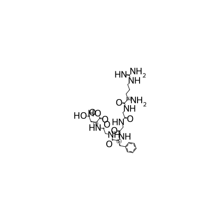 N=C(N)NCCC[C@H](N)C(=O)NCC(=O)NCC(=O)N[C@@H](Cc1ccccc1)C(=O)NCC(=O)N[C@@H](CC(=O)O)C(=O)O